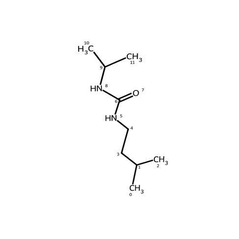 CC(C)CCNC(=O)NC(C)C